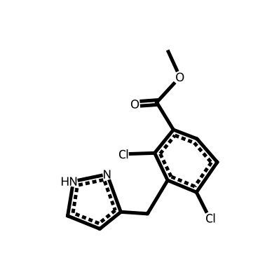 COC(=O)c1ccc(Cl)c(Cc2cc[nH]n2)c1Cl